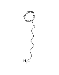 CCCC[CH]CCOc1ccccc1